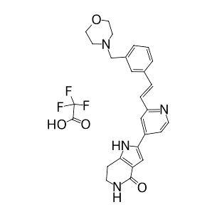 O=C(O)C(F)(F)F.O=C1NCCc2[nH]c(-c3ccnc(C=Cc4cccc(CN5CCOCC5)c4)c3)cc21